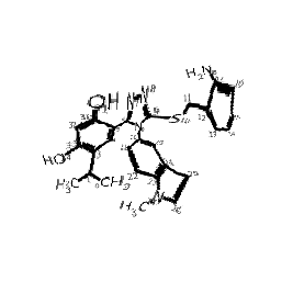 CC(C)c1cc(-c2nnc(SCc3ccccc3N)n2-c2ccc3c(ccn3C)c2)c(O)cc1O